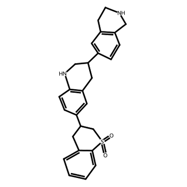 O=S1(=O)CC(c2ccc3c(c2)CC(c2ccc4c(c2)CCNC4)CN3)Cc2ccccc21